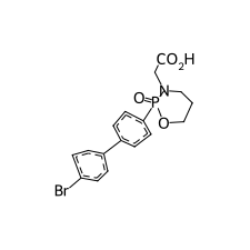 O=C(O)CN1CCCOP1(=O)c1ccc(-c2ccc(Br)cc2)cc1